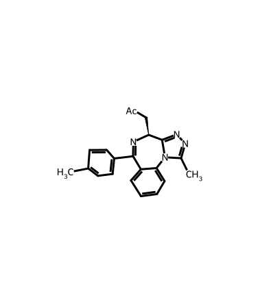 CC(=O)C[C@@H]1N=C(c2ccc(C)cc2)c2ccccc2-n2c(C)nnc21